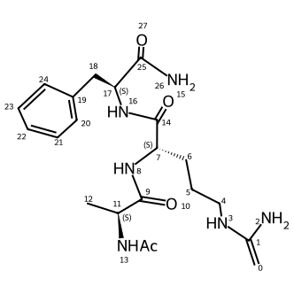 C=C(N)NCCC[C@H](NC(=O)[C@H](C)NC(C)=O)C(=O)N[C@@H](Cc1ccccc1)C(N)=O